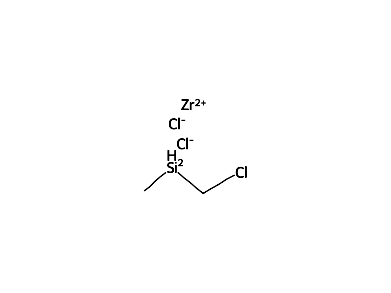 C[SiH2]CCl.[Cl-].[Cl-].[Zr+2]